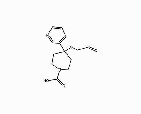 C=CCOC1(c2cccnc2)CCN(C(=O)O)CC1